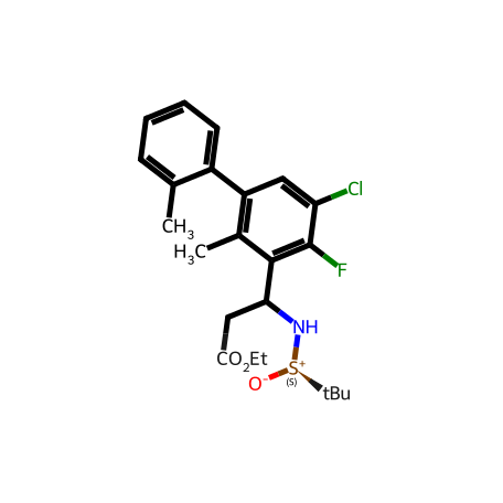 CCOC(=O)CC(N[S@+]([O-])C(C)(C)C)c1c(C)c(-c2ccccc2C)cc(Cl)c1F